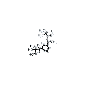 CC(=N[S@+]([O-])C(C)(C)C)c1cccc(C(F)(F)C(C)(O)CO)c1F